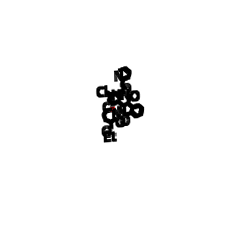 CCOCC1CCCCN(N2C(=O)c3ccccc3C(C(=O)NOCc3ccccn3)C2c2ccc(Cl)cc2Cl)C1=O